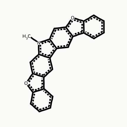 Cn1c2cc3oc4ccccc4c3cc2c2cc3c(cc21)oc1ccccc13